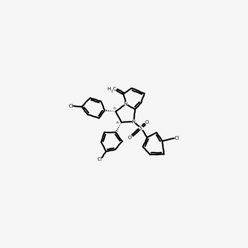 C=C1C=CC=C2N1[C@@H](c1ccc(Cl)cc1)[C@@H](c1ccc(Cl)cc1)N2S(=O)(=O)c1cccc(Cl)c1